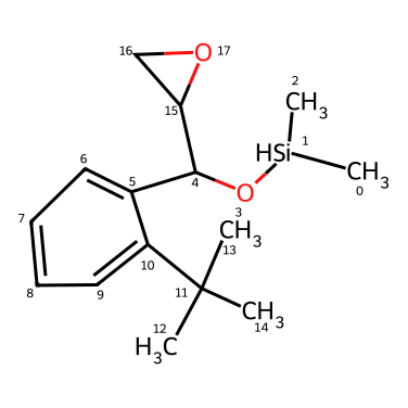 C[SiH](C)OC(c1ccccc1C(C)(C)C)C1CO1